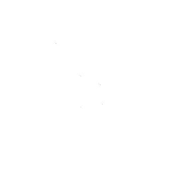 CCC(C)n1c(=O)[nH]c2c(Nc3cc(N)ccc3C)ccnc21